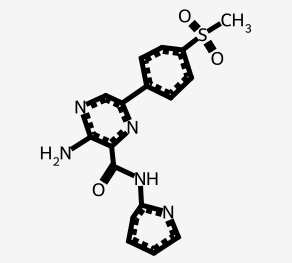 CS(=O)(=O)c1ccc(-c2cnc(N)c(C(=O)Nc3ccccn3)n2)cc1